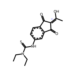 CCN(CC)C(=S)Nc1ccc2c(c1)C(=O)/C(=C(\C)O)C2=O